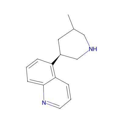 CC1CNC[C@@H](c2cccc3ncccc23)C1